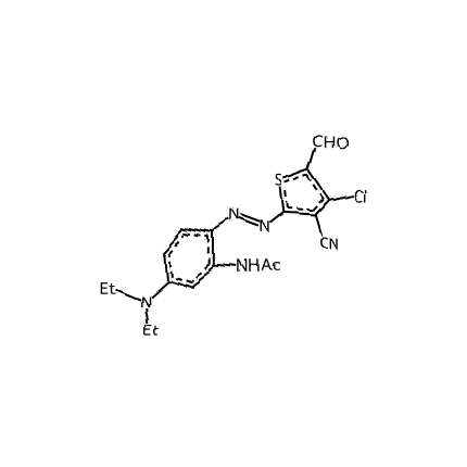 CCN(CC)c1ccc(N=Nc2sc(C=O)c(Cl)c2C#N)c(NC(C)=O)c1